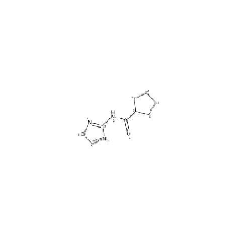 O=C(Nc1ncon1)C1CCCC1